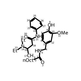 CCCCCCCCC(=O)NCc1ccc(O)c(OC)c1.CCN(CC)C(C)CC(=O)Nc1ccccc1